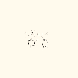 Cc1cc(C)c(P(=O)(O)O)c(C)c1.Cc1cc(C)c(P(=O)(O)O)cc1C